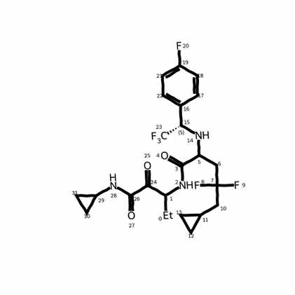 CCC(NC(=O)C(CC(F)(F)CC1CC1)N[C@@H](c1ccc(F)cc1)C(F)(F)F)C(=O)C(=O)NC1CC1